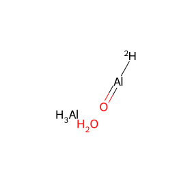 O.[2H][Al]=[O].[AlH3]